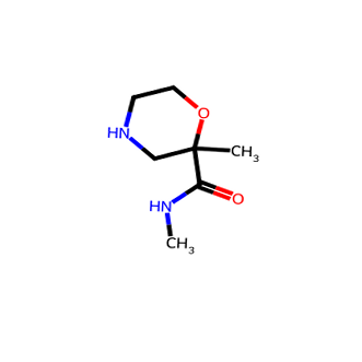 CNC(=O)C1(C)CNCCO1